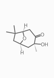 CC1(C)C[C@@H]2C[C@](C)(O)C(=O)C[C@H]1O2